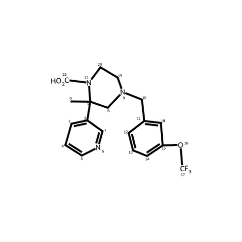 CC1(c2cccnc2)CN(Cc2cccc(OC(F)(F)F)c2)CCN1C(=O)O